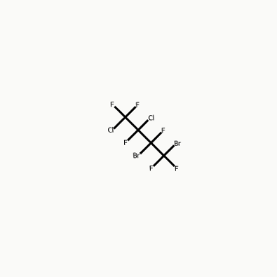 FC(F)(Cl)C(F)(Cl)C(F)(Br)C(F)(F)Br